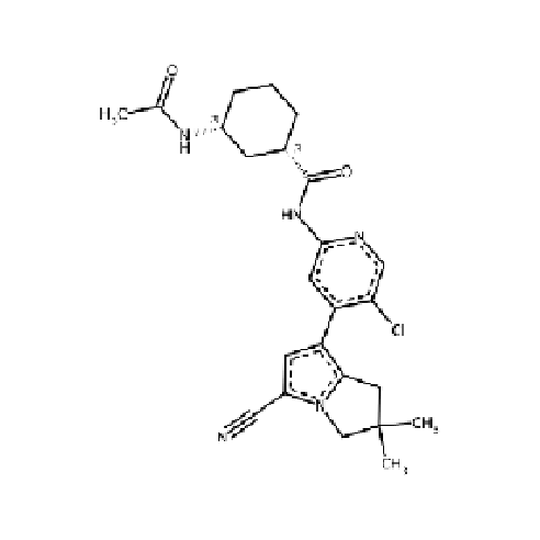 CC(=O)N[C@@H]1CCC[C@H](C(=O)Nc2cc(-c3cc(C#N)n4c3CC(C)(C)C4)c(Cl)cn2)C1